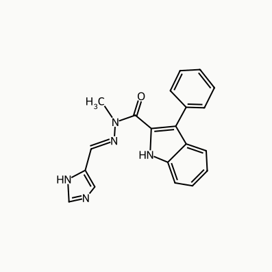 CN(N=Cc1cnc[nH]1)C(=O)c1[nH]c2ccccc2c1-c1ccccc1